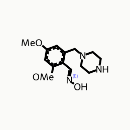 COc1cc(CN2CCNCC2)c(/C=N/O)c(OC)c1